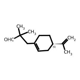 C=C(C)[C@@H]1CC=C(CC(C)(C)C=O)CC1